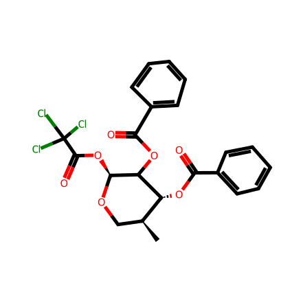 C[C@H]1CO[C@@H](OC(=O)C(Cl)(Cl)Cl)C(OC(=O)c2ccccc2)[C@@H]1OC(=O)c1ccccc1